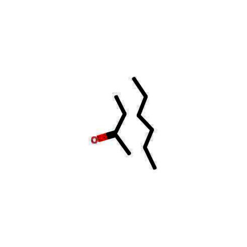 CCC(C)=O.CCCCCC